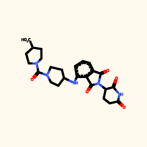 O=C1CCC(N2C(=O)c3cccc(NC4CCN(C(=O)N5CCC(C(=O)O)CC5)CC4)c3C2=O)C(=O)N1